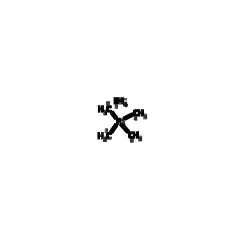 C[P+](C)(C)C.[BH4-]